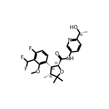 COc1c([C@@H]2[C@@H](C(=O)Nc3ccc([C@@H](C)O)nc3)OC(C)(C)[C@@H]2C)ccc(F)c1C(F)F